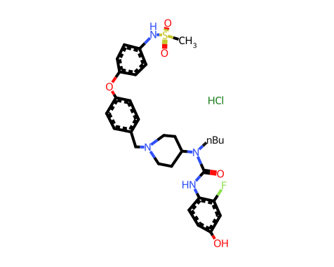 CCCCN(C(=O)Nc1ccc(O)cc1F)C1CCN(Cc2ccc(Oc3ccc(NS(C)(=O)=O)cc3)cc2)CC1.Cl